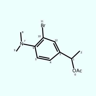 CC(=O)OC(C)c1ccc(N(C)C)c(Br)c1